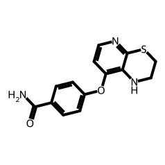 NC(=O)c1ccc(Oc2ccnc3c2NCCS3)cc1